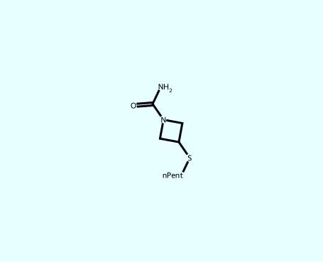 CCCCCSC1CN(C(N)=O)C1